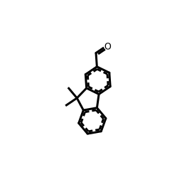 CC1(C)c2ccccc2-c2ccc(C=O)cc21